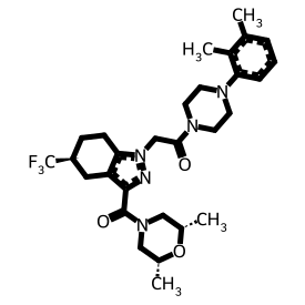 Cc1cccc(N2CCN(C(=O)Cn3nc(C(=O)N4C[C@@H](C)O[C@@H](C)C4)c4c3CC[C@H](C(F)(F)F)C4)CC2)c1C